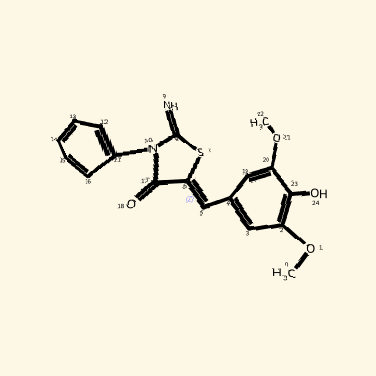 COc1cc(/C=C2\SC(=N)N(c3ccccc3)C2=O)cc(OC)c1O